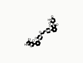 CCc1c[nH]c2ncc(-c3cccc(N4CCN(C(=O)CCN5CCN(c6cccc7c6C(=O)N(C6CCC(=O)NC6=O)C7=O)CC5)CC4=O)c3)c(Cl)c12